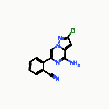 N#Cc1ccccc1-c1cn2nc(Cl)cc2c(N)n1